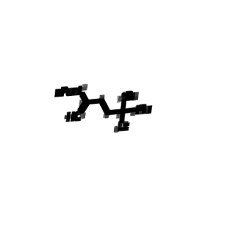 [CH]=C(CCCCC)CCC(CC)(C(C)(C)C)C(C)(C)C